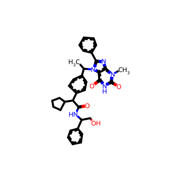 CC(c1ccc(C(C(=O)NC(CO)c2ccccc2)C2CCCC2)cc1)n1c(-c2ccccc2)nc2c1c(=O)[nH]c(=O)n2C